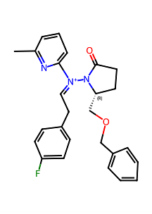 Cc1cccc([N+](=CCc2ccc(F)cc2)N2C(=O)CC[C@@H]2COCc2ccccc2)n1